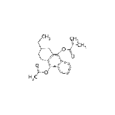 C=C(C)C(=O)Oc1c2c(c(OC(C)=O)c3ccccc13)CCC(CC)C2